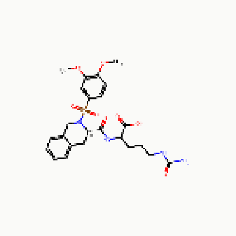 COc1ccc(S(=O)(=O)N2Cc3ccccc3C[C@H]2C(=O)NC(CCCNC(N)=O)C(=O)O)cc1OC